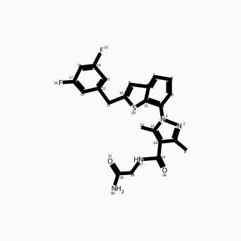 Cc1nn(-c2cccc3cc(Cc4cc(F)cc(F)c4)sc23)c(C)c1C(=O)NCC(N)=O